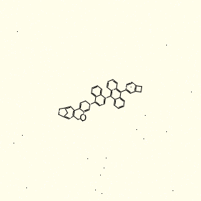 C1=C2CCC(=CC3=C1COC1=CC(c4ccc(-c5c6ccccc6c(-c6ccc7c(c6)CC7)c6ccccc56)c5ccccc45)CC=C13)C2